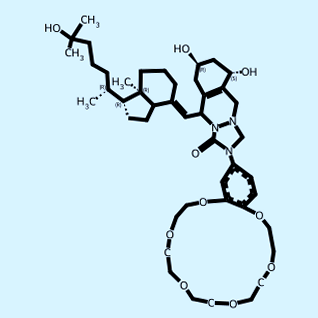 C[C@H](CCCC(C)(C)O)[C@H]1CCC2C(=CC3C4=C(CN5CN(c6ccc7c(c6)OCCOCCOCCOCCOCCO7)C(=O)N35)[C@@H](O)C[C@H](O)C4)CCC[C@@]21C